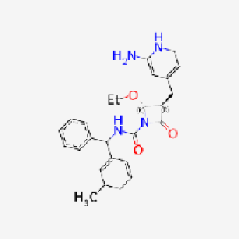 CCO[C@@H]1[C@@H](CC2=CCNC(N)=C2)C(=O)N1C(=O)NC(C1=CC(C)CC=C1)c1ccccc1